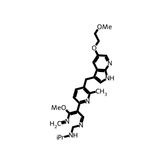 C=N/C(OC)=C(\C=N/CNC(C)C)c1ccc(Cc2c[nH]c3ncc(OCCOC)cc23)c(C)n1